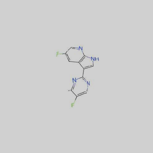 Fc1[c]nc(-c2c[nH]c3ncc(F)cc23)nc1